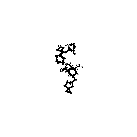 Cn1cnnc1CC1(c2cccc(N3Cc4c(cc(CN5CCC6(CC6)C5)cc4C(F)(F)F)C3=O)c2)COC1